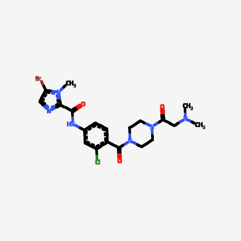 CN(C)CC(=O)N1CCN(C(=O)c2ccc(NC(=O)c3ncc(Br)n3C)cc2Cl)CC1